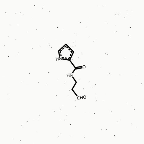 O=CCCNC(=O)c1ccc[nH]1